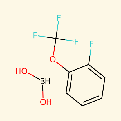 Fc1ccccc1OC(F)(F)F.OBO